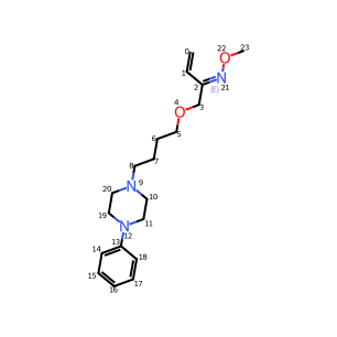 C=C/C(COCCCCN1CCN(c2ccccc2)CC1)=N\OC